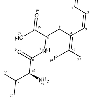 C=C/C=C\C(CC(NC(=O)[C@@H](N)C(C)C)C(=O)O)=C(/C)F